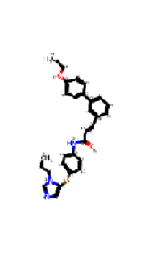 CCCn1cncc1Sc1ccc(NC(=O)/C=C/c2cccc(-c3ccc(OCC)cc3)c2)cc1